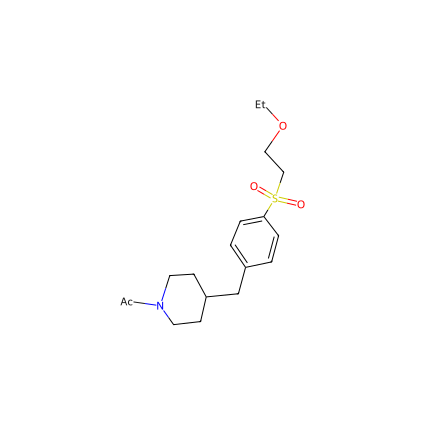 CCOCCS(=O)(=O)c1ccc(CC2CCN(C(C)=O)CC2)cc1